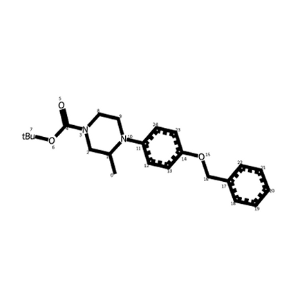 CC1CN(C(=O)OC(C)(C)C)CCN1c1ccc(OCc2ccccc2)cc1